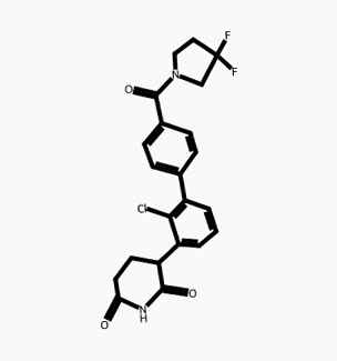 O=C1CCC(c2cccc(-c3ccc(C(=O)N4CCC(F)(F)C4)cc3)c2Cl)C(=O)N1